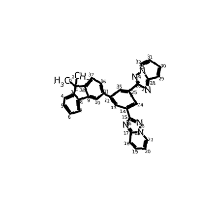 CC1(C)c2ccccc2-c2cc(-c3cc(-c4nc5ccccn5n4)cc(-c4nc5ccccn5n4)c3)ccc21